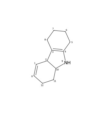 C1=CC2C3=C(CCCC3)NC2CC1